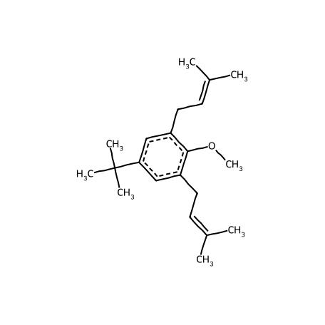 COc1c(CC=C(C)C)cc(C(C)(C)C)cc1CC=C(C)C